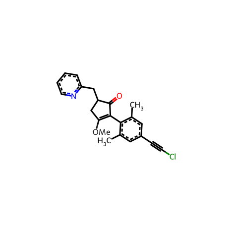 COC1=C(c2c(C)cc(C#CCl)cc2C)C(=O)C(Cc2ccccn2)C1